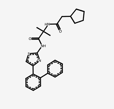 CC(C)(NC(=O)CC1CCCC1)C(=O)Nc1nc(-c2ccccc2-c2ccccc2)cs1